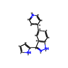 c1c[nH]c(-c2n[nH]c3ccc(-c4ccncc4)cc23)c1